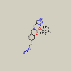 CC(C)(C)OC(=O)N(Cc1ccc(CCN=[N+]=[N-])cc1)Cc1c[nH]nn1